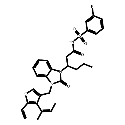 C=Cc1scc(Cn2c(=O)n(C(CCC)CC(=O)NS(=O)(=O)c3cccc(F)c3)c3ccccc32)c1/C(C)=C\C